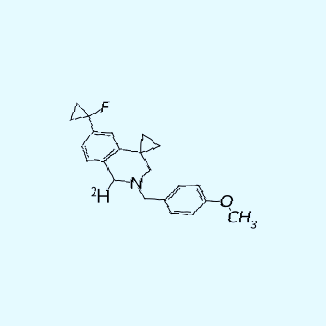 [2H]C1c2ccc(C3(F)CC3)cc2C2(CC2)CN1Cc1ccc(OC)cc1